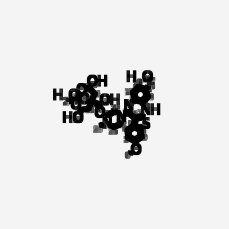 COc1ccc2c3c(sc2c1)Nc1cc(F)ccc1N=C3N1CCN(C)CC1.O.O.O=C(O)CC(O)(CC(=O)O)C(=O)O